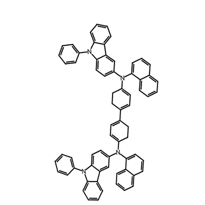 C1=C(C2=CC=C(N(c3ccc4c(c3)c3ccccc3n4-c3ccccc3)c3cccc4ccccc34)CC2)CCC(N(c2ccc3c(c2)c2ccccc2n3-c2ccccc2)c2cccc3ccccc23)=C1